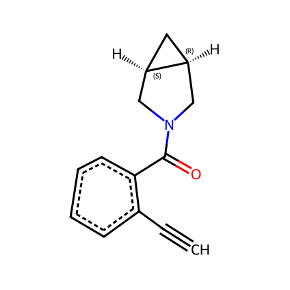 C#Cc1ccccc1C(=O)N1C[C@H]2C[C@H]2C1